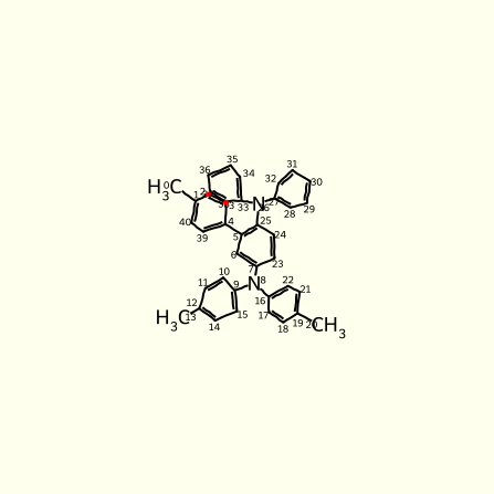 Cc1ccc(-c2cc(N(c3ccc(C)cc3)c3ccc(C)cc3)ccc2N(c2ccccc2)c2ccccc2)cc1